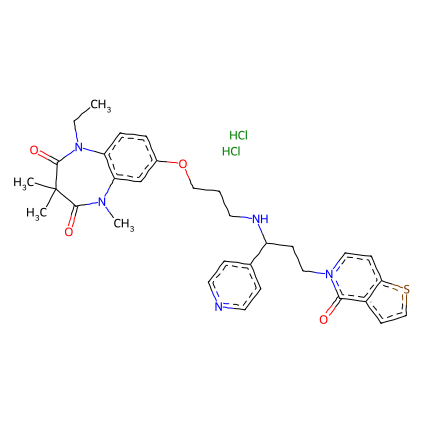 CCN1C(=O)C(C)(C)C(=O)N(C)c2cc(OCCCNC(CCn3ccc4sccc4c3=O)c3ccncc3)ccc21.Cl.Cl